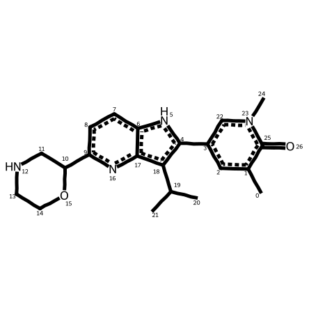 Cc1cc(-c2[nH]c3ccc(C4CNCCO4)nc3c2C(C)C)cn(C)c1=O